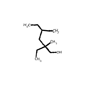 CC[C](C)CC(C)(CC)CO